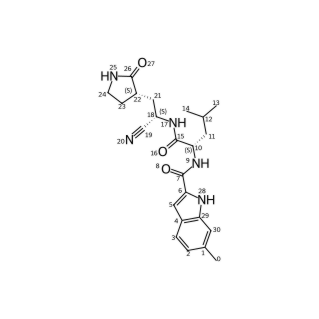 Cc1ccc2cc(C(=O)N[C@@H](CC(C)C)C(=O)N[C@H](C#N)C[C@@H]3CCNC3=O)[nH]c2c1